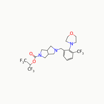 O=C(OC(C(F)(F)F)C(F)(F)F)N1CC2CN(Cc3cccc(C(F)(F)F)c3N3CCOCC3)CC2C1